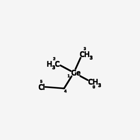 [CH3][Ge]([CH3])([CH3])[CH2]Cl